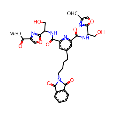 COC(=O)c1coc(C(CO)NC(=O)c2cc(CCCCN3C(=O)c4ccccc4C3=O)cc(C(=O)NC(CO)c3nc(C=O)co3)n2)n1